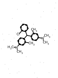 Cc1cc(N(C)C)ccc1C(c1ccc(N(C)C)cc1C)c1ccccc1Cl